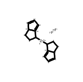 C1=CC2CC[CH]([Zr+2][CH]3CCC4C=CC=C43)C2=C1.[F-].[F-]